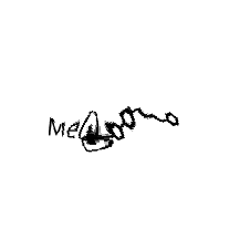 COC(=O)c1ccc(-c2ccc(C=CC=Cc3ccccc3)cc2)cc1